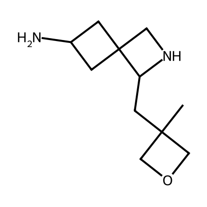 CC1(CC2NCC23CC(N)C3)COC1